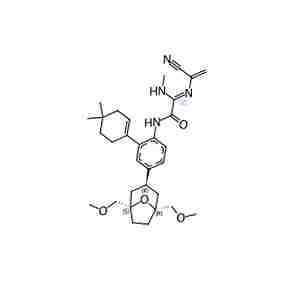 C=C(C#N)/N=C(\NC)C(=O)Nc1ccc([C@H]2C[C@@]3(COC)CC[C@@](COC)(C2)O3)cc1C1=CCC(C)(C)CC1